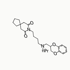 CCCN(CCCCN1C(=O)CC2(CCCC2)CC1=O)CC1COc2ccccc2O1